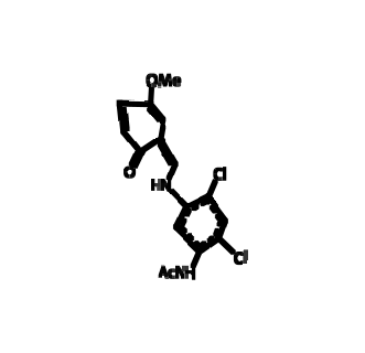 COC1=C/C(=C/Nc2cc(NC(C)=O)c(Cl)cc2Cl)C(=O)C=C1